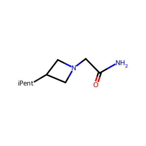 CCCC(C)C1CN(CC(N)=O)C1